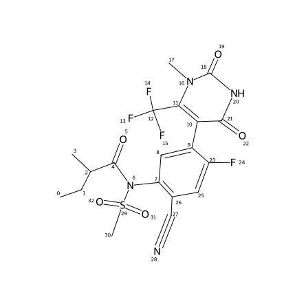 CCC(C)C(=O)N(c1cc(-c2c(C(F)(F)F)n(C)c(=O)[nH]c2=O)c(F)cc1C#N)S(C)(=O)=O